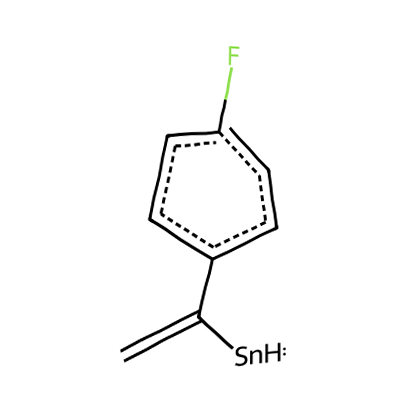 C=[C]([SnH])c1ccc(F)cc1